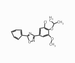 COc1cc(-c2noc(-c3ccccc3)n2)cc(Cl)c1OC(C)C